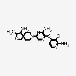 CC1OCC2(CCN(c3cnc(Sc4ccnc(N)c4Cl)c(N)n3)CC2)C1N